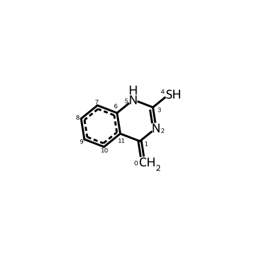 C=C1N=C(S)Nc2ccccc21